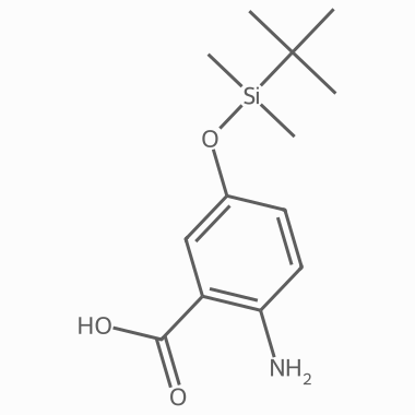 CC(C)(C)[Si](C)(C)Oc1ccc(N)c(C(=O)O)c1